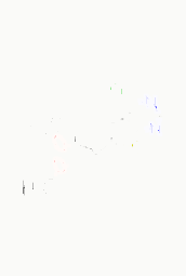 COCC1(OC)CCc2c(sc3ncnc(Cl)c23)C1